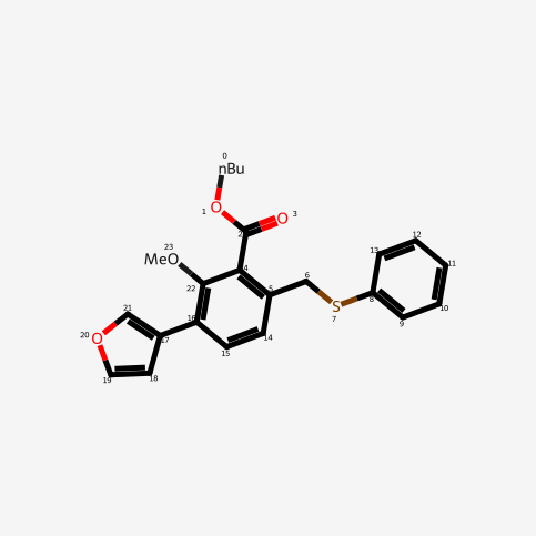 CCCCOC(=O)c1c(CSc2ccccc2)ccc(-c2ccoc2)c1OC